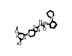 COc1cc(N2CCc3nc(NC(=O)Nc4ccccc4N4CCCCC4)sc3C2)nc(OC)n1